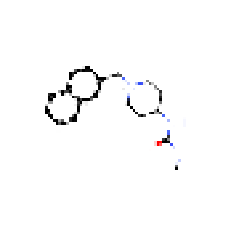 CNC(=O)NC1CCN(Cc2ccc3ccccc3c2)CC1